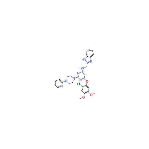 COc1cc(Cl)c(Oc2cc(NCc3nc4ccccc4[nH]3)nc(N3CCN(c4ccccn4)CC3)n2)cc1OC